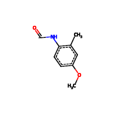 COc1ccc(N[C]=O)c(C)c1